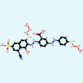 N#Cc1cc(S(=O)(=O)O)cc2cc(SOOO)c(/N=N/c3ccc(/N=N/c4ccc(SOOO)cc4)cc3C(=O)O)c(O)c12